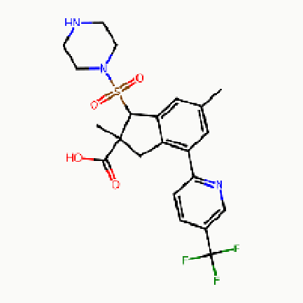 Cc1cc(-c2ccc(C(F)(F)F)cn2)c2c(c1)C(S(=O)(=O)N1CCNCC1)C(C)(C(=O)O)C2